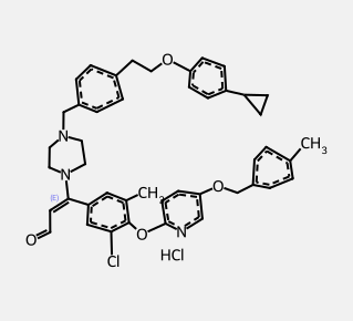 Cc1ccc(COc2ccc(Oc3c(C)cc(/C(=C\C=O)N4CCN(Cc5ccc(CCOc6ccc(C7CC7)cc6)cc5)CC4)cc3Cl)nc2)cc1.Cl